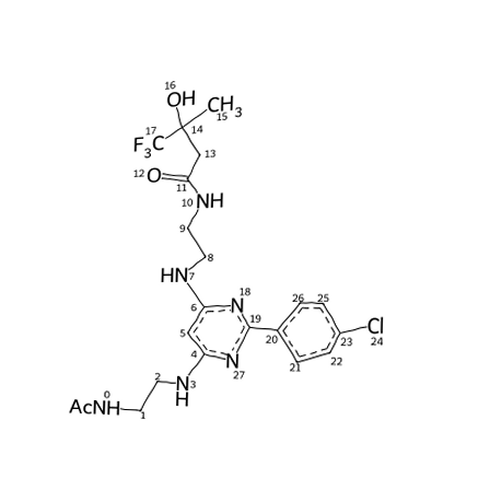 CC(=O)NCCNc1cc(NCCNC(=O)CC(C)(O)C(F)(F)F)nc(-c2ccc(Cl)cc2)n1